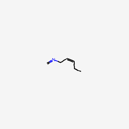 C=NC/C=C\CC